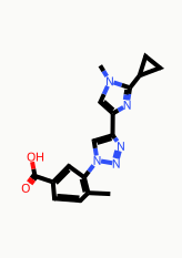 Cc1ccc(C(=O)O)cc1-n1cc(-c2cn(C)c(C3CC3)n2)nn1